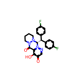 O=C1c2c(O)c(=O)cnn2[C@@H](C(c2ccc(F)cc2)c2ccc(F)cc2)N2CCCCN12